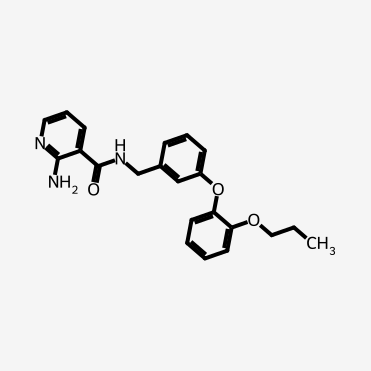 CCCOc1ccccc1Oc1cccc(CNC(=O)c2cccnc2N)c1